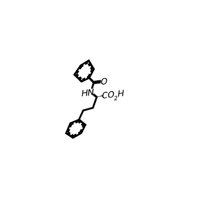 O=C(N[C@@H](CCc1ccccc1)C(=O)O)c1ccccc1